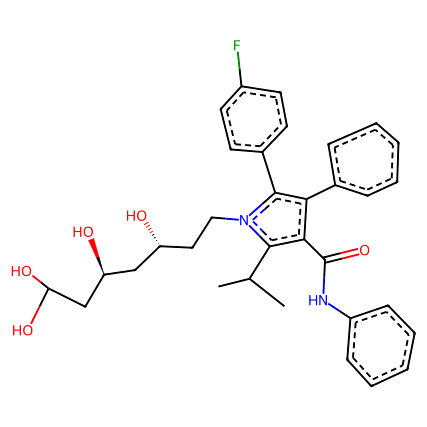 CC(C)c1c(C(=O)Nc2ccccc2)c(-c2ccccc2)c(-c2ccc(F)cc2)n1CC[C@@H](O)C[C@H](O)CC(O)O